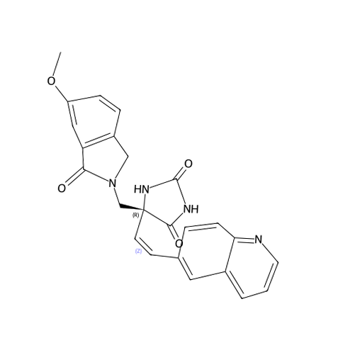 COc1ccc2c(c1)C(=O)N(C[C@@]1(/C=C\c3ccc4ncccc4c3)NC(=O)NC1=O)C2